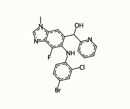 Cn1cnc2c(F)c(Nc3ccc(Br)cc3Cl)c(C(O)c3ccccn3)cc21